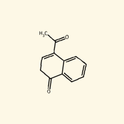 CC(=O)C1=CCC(=O)c2ccccc21